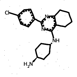 N[C@H]1CC[C@H](Nc2nc(-c3ccc(Cl)cc3)nc3c2CCCC3)CC1